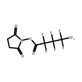 O=C1CCC(=O)N1OC(=O)C(F)(F)C(F)(F)C(F)(F)C(F)(F)F